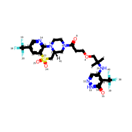 CC(C)(COCCC(=O)N1CCN2c3ncc(C(F)(F)F)cc3S(=O)(=O)C[C@H]2C1)Nc1cn[nH]c(=O)c1C(F)(F)F